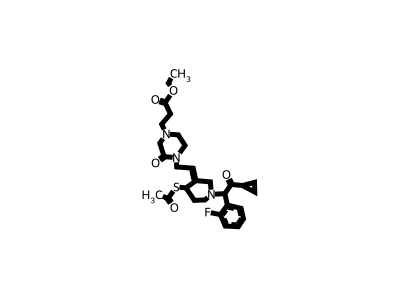 CCOC(=O)CCN1CCN(C/C=C2/CN(C(C(=O)C3CC3)c3ccccc3F)CCC2SC(C)=O)C(=O)C1